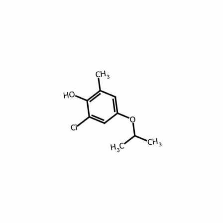 Cc1cc(OC(C)C)cc(Cl)c1O